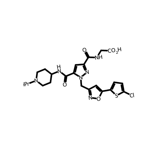 CC(C)N1CCC(NC(=O)c2cc(C(=O)NCC(=O)O)nn2Cc2cc(-c3ccc(Cl)s3)on2)CC1